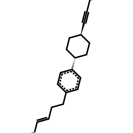 CCC#C[C@H]1CC[C@H](c2ccc(CC/C=C/Cl)cc2)CC1